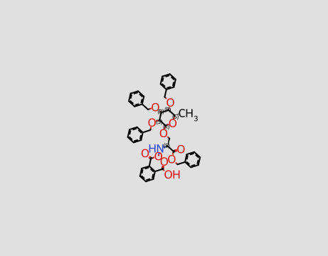 C[C@@H]1O[C@@H](OC[C@H](NOC(=O)c2ccccc2C(=O)O)C(=O)OCc2ccccc2)[C@@H](OCc2ccccc2)[C@H](OCc2ccccc2)[C@@H]1OCc1ccccc1